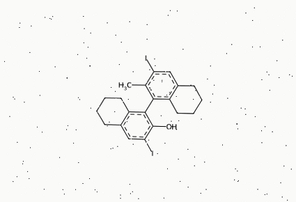 Cc1c(I)cc2c(c1-c1c(O)c(I)cc3c1CCCC3)CCCC2